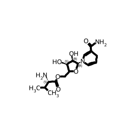 CC(C)[C@H](N)C(=O)OCC1O[C@@H](N2C=CCC(C(N)=O)=C2)[C@H](O)[C@@H]1O